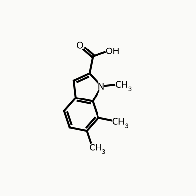 Cc1ccc2cc(C(=O)O)n(C)c2c1C